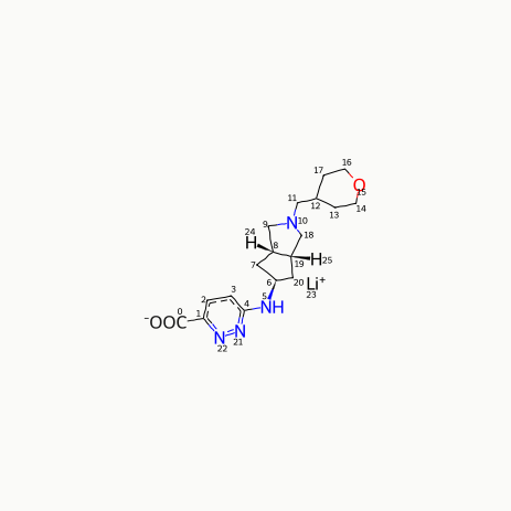 O=C([O-])c1ccc(N[C@H]2C[C@@H]3CN(CC4CCOCC4)C[C@@H]3C2)nn1.[Li+]